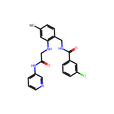 N#Cc1ccc(CNC(=O)c2cccc(Cl)c2)c(NCC(=O)Nc2cccnc2)c1